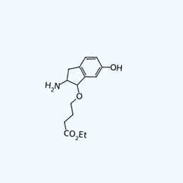 CCOC(=O)CCCOC1c2cc(O)ccc2CC1N